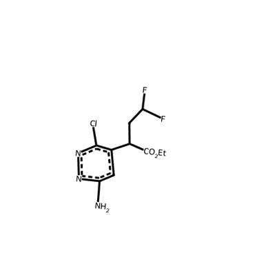 CCOC(=O)C(CC(F)F)c1cc(N)nnc1Cl